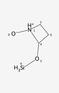 [O-][NH+]1CCC1O[SiH3]